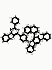 c1ccc(-c2nc(-c3ccc(-n4c5ccccc5c5cc6c7ccccc7n7c8ccc9ccccc9c8c(c54)c67)cc3)c3oc4ccccc4c3n2)cc1